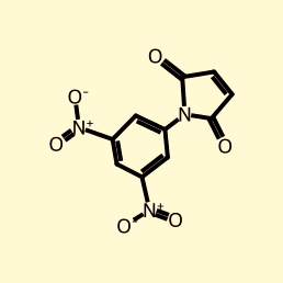 O=C1C=CC(=O)N1c1cc([N+](=O)[O-])cc([N+](=O)[O-])c1